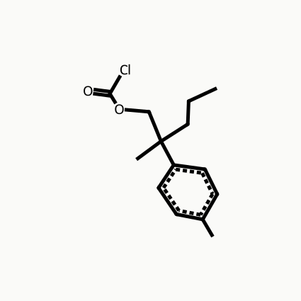 CCCC(C)(COC(=O)Cl)c1ccc(C)cc1